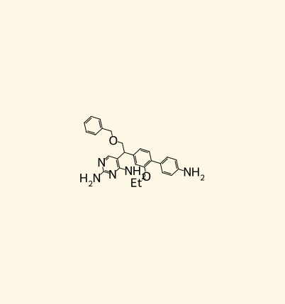 CCOc1cc(C(COCc2ccccc2)c2cnc(N)nc2N)ccc1-c1ccc(N)cc1